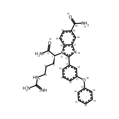 N=C(N)NCCC[C@@H](C(N)=O)n1c(-c2cccc(Oc3ccccc3)c2)nc2cc(C(N)=O)ccc21